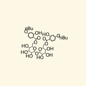 CCCCOc1ccc(C(=O)OCC2OC(OC3OC(COC(=O)c4ccc(OCCCC)cc4O)C(O)C(O)C3O)C(O)C(O)C2O)c(O)c1